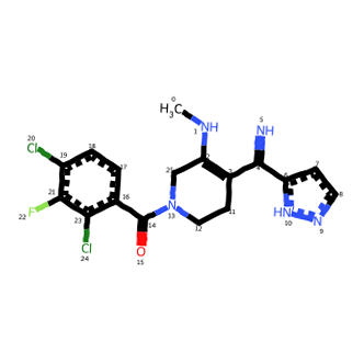 CNC1=C(C(=N)c2ccn[nH]2)CCN(C(=O)c2ccc(Cl)c(F)c2Cl)C1